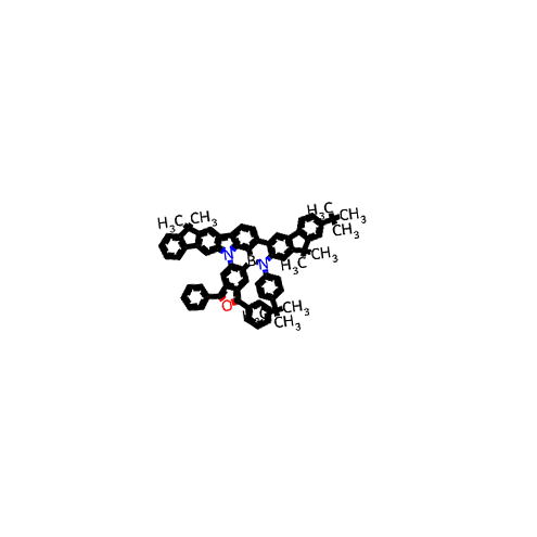 CC(C)(C)c1ccc(N2B3c4cc5c(-c6ccccc6)oc(-c6ccccc6)c5cc4-n4c5cc6c(cc5c5ccc(c3c54)-c3cc4c(cc32)C(C)(C)c2cc(C(C)(C)C)ccc2-4)C(C)(C)c2ccccc2-6)cc1